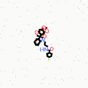 O=C(NCCCN1C(=O)C2(COc3cc4c(cc32)OCO4)c2ccccc21)c1ccc(F)cc1